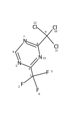 FC(F)(F)c1ncnc(C(Cl)(Cl)Cl)n1